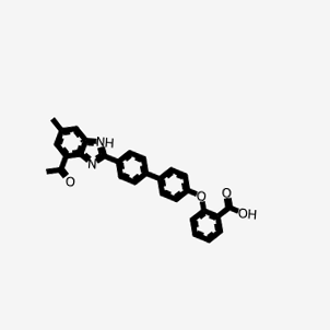 CC(=O)c1cc(C)cc2[nH]c(-c3ccc(-c4ccc(Oc5ccccc5C(=O)O)cc4)cc3)nc12